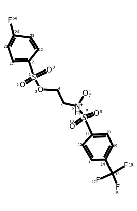 O=S(=O)(OCC[NH+]([O-])S(=O)(=O)c1ccc(C(F)(F)F)cc1)c1ccc(F)cc1